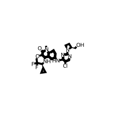 Cn1c(=O)c2c(c3cc(Nc4nc(N5CC[C@H]5CO)ncc4Cl)ccc31)N[C@@H](C1CC1)C(F)(F)CO2